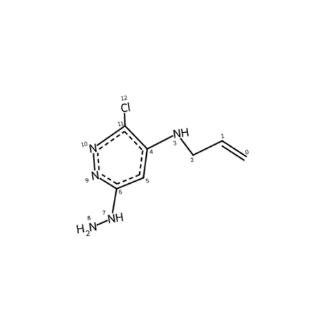 C=CCNc1cc(NN)nnc1Cl